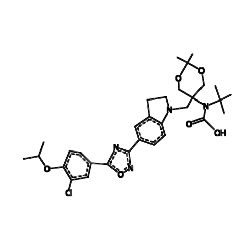 CC(C)Oc1ccc(-c2nc(-c3ccc4c(c3)CCN4CC3(N(C(=O)O)C(C)(C)C)COC(C)(C)OC3)no2)cc1Cl